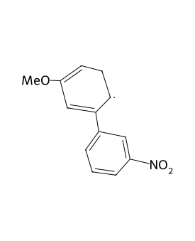 COC1=CC[CH]C(c2cccc([N+](=O)[O-])c2)=C1